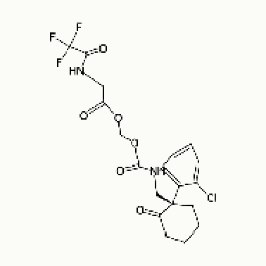 O=C(CNC(=O)C(F)(F)F)OCOC(=O)NC[C@@]1(c2ccccc2Cl)CCCCC1=O